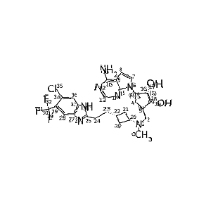 CN(C[C@H]1C[C@@H](n2ccc3c(N)ncnc32)[C@H](O)[C@@H]1O)[C@H]1C[C@@H](CCc2nc3cc(C(F)(F)F)c(Cl)cc3[nH]2)C1